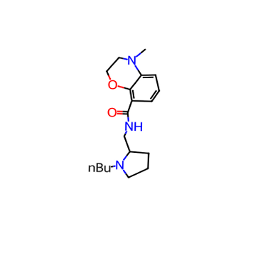 CCCCN1CCCC1CNC(=O)c1cccc2c1OCCN2C